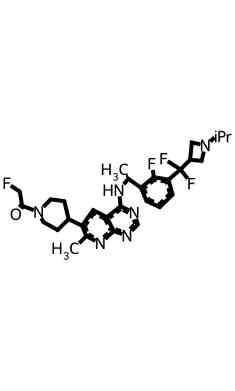 Cc1nc2ncnc(N[C@H](C)c3cccc(C(F)(F)C4CN(C(C)C)C4)c3F)c2cc1C1CCN(C(=O)CF)CC1